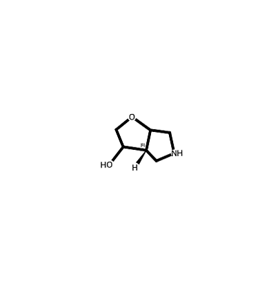 OC1COC2CNC[C@H]12